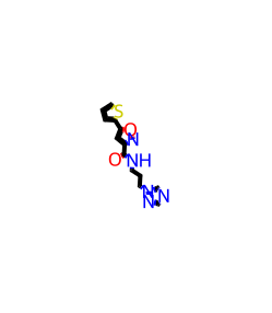 O=C(NCCCn1cncn1)c1cc(-c2cccs2)on1